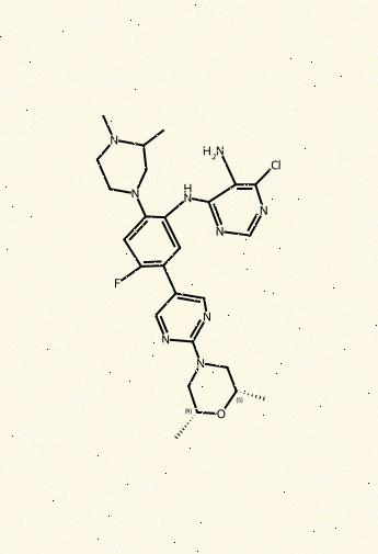 CC1CN(c2cc(F)c(-c3cnc(N4C[C@@H](C)O[C@@H](C)C4)nc3)cc2Nc2ncnc(Cl)c2N)CCN1C